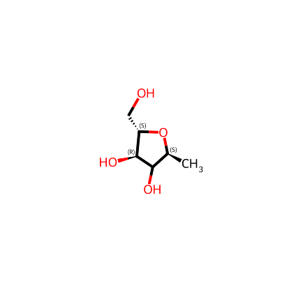 C[C@@H]1O[C@@H](CO)[C@H](O)C1O